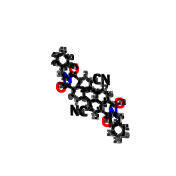 N#Cc1cc2c3c(ccc4c5c(C#N)cc6c7c(ccc(c1c34)c75)C(=O)N(Cc1ccccc1)C6=O)C(=O)N(Cc1ccccc1)C2=O